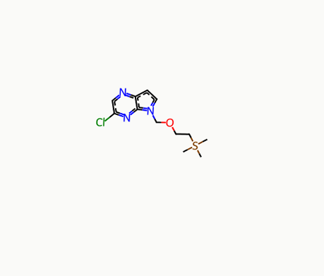 CS(C)(C)CCOCn1ccc2ncc(Cl)nc21